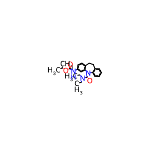 CCN(CC)C(=O)N1c2ccccc2CCc2ccc(NC(=O)OC(C)C)cc21